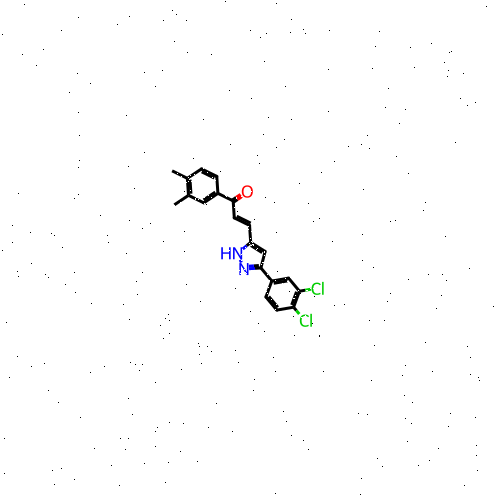 Cc1ccc(C(=O)C=Cc2cc(-c3ccc(Cl)c(Cl)c3)n[nH]2)cc1C